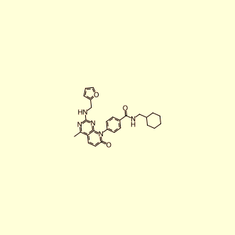 Cc1nc(NCc2ccco2)nc2c1ccc(=O)n2-c1ccc(C(=O)NCC2CCCCC2)cc1